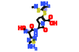 C=NS/C(SC1=C(C(=O)O)N2C(=O)C(NC(=O)/C(=N\O)c3nsc(N)n3)C2CC1)=C(/C)N